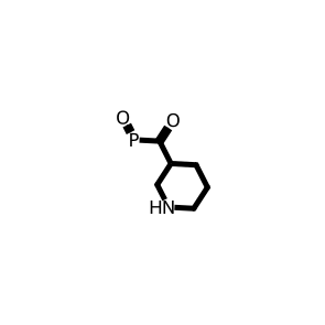 O=PC(=O)C1CCCNC1